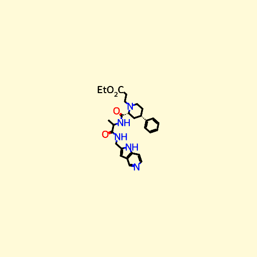 CCOC(=O)CCN1CC[C@H](c2ccccc2)C[C@@H]1C(=O)NC(C)C(=O)NCc1cc2cnccc2[nH]1